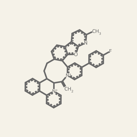 C=C1C2C(CCc3ccc4c(oc5nc(C)ccc54)c3-c3cc(-c4ccc(F)cc4)cc[n+]31)c1ccccc1-c1cccc[n+]12